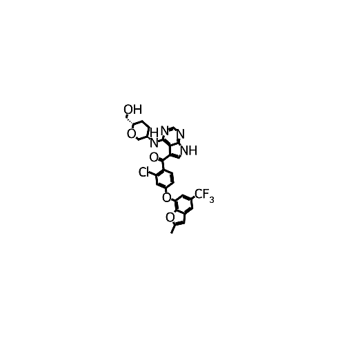 Cc1cc2cc(C(F)(F)F)cc(Oc3ccc(C(=O)c4c[nH]c5ncnc(N[C@@H]6CC[C@@H](CO)OC6)c45)c(Cl)c3)c2o1